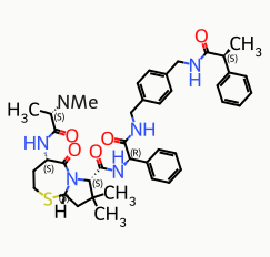 CN[C@@H](C)C(=O)N[C@H]1CCS[C@H]2CC(C)(C)[C@@H](C(=O)N[C@@H](C(=O)NCc3ccc(CNC(=O)[C@@H](C)c4ccccc4)cc3)c3ccccc3)N2C1=O